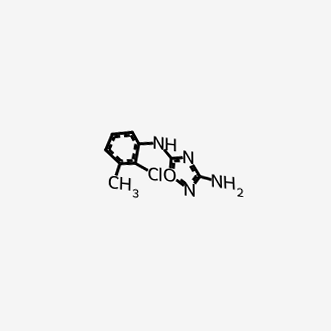 Cc1cccc(Nc2nc(N)no2)c1Cl